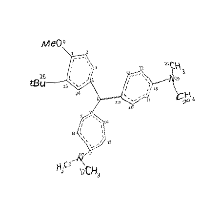 COc1ccc(C(c2ccc(N(C)C)cc2)c2ccc(N(C)C)cc2)cc1C(C)(C)C